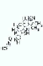 Cc1c(-c2[nH]c3sc([C@@H]4C[C@@H]5C[C@H]4CN5CC(=O)N4CC(O)C4)c(C)c3c2C(C)C)cn2ncnc2c1C